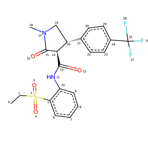 CCS(=O)(=O)c1ccccc1NC(=O)[C@H]1C(=O)N(C)C[C@@H]1c1ccc(C(F)(F)F)cc1